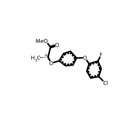 COC(=O)[C@@H](C)Oc1ccc(Oc2ccc(Cl)cc2F)cc1